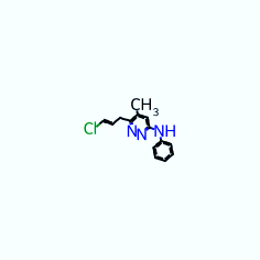 Cc1cc(Nc2ccccc2)nnc1CC=CCl